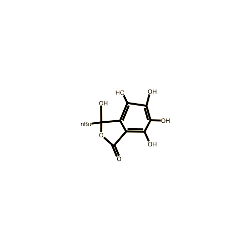 CCCCC1(O)OC(=O)c2c(O)c(O)c(O)c(O)c21